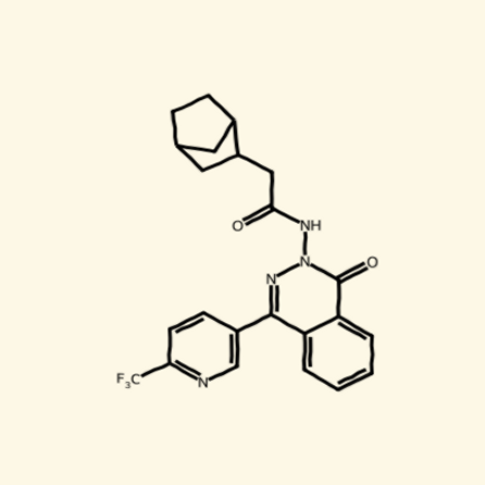 O=C(CC1CC2CCC1C2)Nn1nc(-c2ccc(C(F)(F)F)nc2)c2ccccc2c1=O